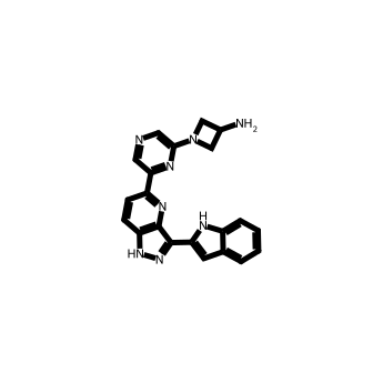 NC1CN(c2cncc(-c3ccc4[nH]nc(-c5cc6ccccc6[nH]5)c4n3)n2)C1